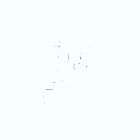 CCCC(NC(=O)[C@@H]1[C@H]2CCC(=O)[C@H]2CN1C(=O)[C@@H](NOC(C)C)C(C)(C)C)C(=O)C(=O)NC1CC1